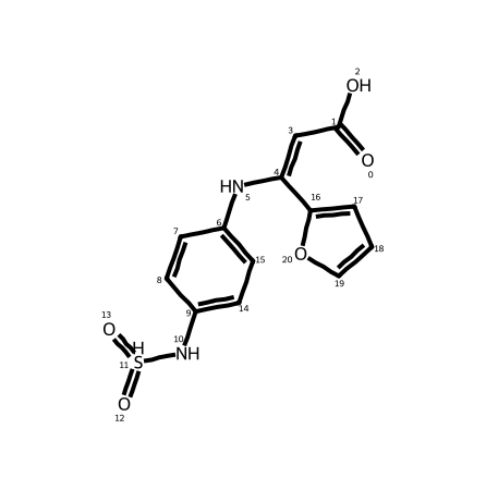 O=C(O)C=C(Nc1ccc(N[SH](=O)=O)cc1)c1ccco1